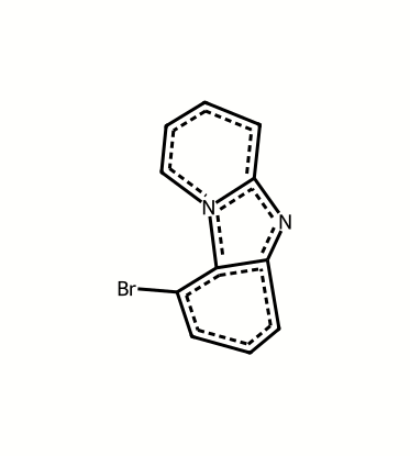 Brc1cccc2nc3ccccn3c12